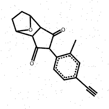 C#Cc1ccc(C2C(=O)C3C4CCC(O4)C3C2=O)c(C)c1